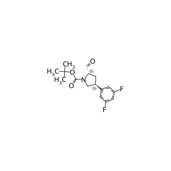 CC(C)(C)OC(=O)N1C[C@H](c2cc(F)cc(F)c2)C[C@H]1C=O